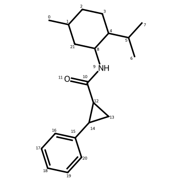 CC1CCC(C(C)C)C(NC(=O)C2CC2c2ccccc2)C1